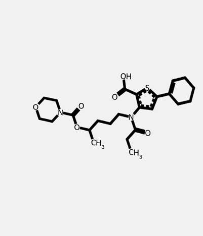 CCC(=O)N(CCCC(C)OC(=O)N1CCOCC1)c1cc(C2=CCCCC2)sc1C(=O)O